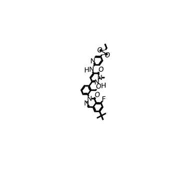 CCS(=O)(=O)c1ccc(Nc2cc(-c3cccc(-n4ncc5cc(C(C)(C)C)cc(F)c5c4=O)c3CO)nn(C)c2=O)nc1